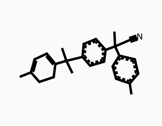 CC1=CC=C(C(C)(C)c2ccc(C(C)(C#N)c3ccc(C)cc3)cc2)CC1